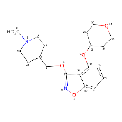 O=C(O)N1CCC(COc2noc3cccc(OC4CCOCC4)c23)CC1